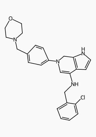 Clc1ccccc1CNC1=CN(c2ccc(CN3CCOCC3)cc2)Cc2[nH]ccc21